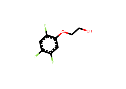 OCCOc1cc(F)c(F)cc1F